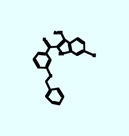 CC(=O)Nc1c(C(=O)c2cccc(OCc3ccccc3)c2)[nH]c2cc(Cl)ccc12